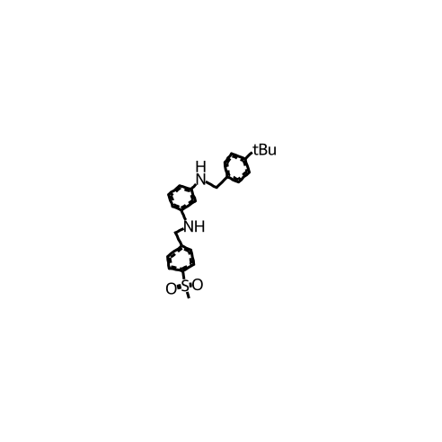 CC(C)(C)c1ccc(CNc2cccc(NCc3ccc(S(C)(=O)=O)cc3)c2)cc1